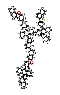 c1ccc(-c2c3ccccc3c(-c3ccc4c(c3)sc3c5ccccc5ccc43)c3cc(-c4ccc5c(-c6ccc(-c7ccc8oc9c%10ccccc%10ccc9c8c7)cc6)c6ccccc6c(-c6ccc7cc(-c8ccc9cc%10oc%11cc(-c%12c%13ccccc%13c(-c%13ccc%14ccccc%14c%13)c%13ccccc%12%13)ccc%11c%10cc9c8)ccc7c6)c5c4)ccc23)cc1